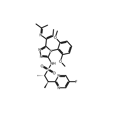 C/C=C(\N=C(C)C)c1nnc(NS(=O)(=O)[C@@H](C)[C@H](C)c2ncc(F)cn2)n1-c1c(OC)cccc1OC